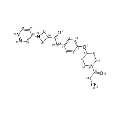 O=C(Nc1ccc(OC2CCN(C(=O)CC(F)(F)F)CC2)cc1)C1CN(c2ccnnc2)C1